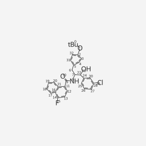 CC(C)(C)Oc1ccc(CC(NC(=O)c2ccc(F)c3ccccc23)C(O)c2cccc(Cl)c2)cc1